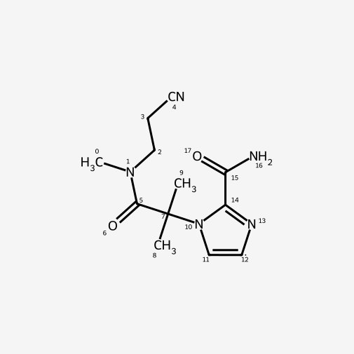 CN(CCC#N)C(=O)C(C)(C)n1c[c]nc1C(N)=O